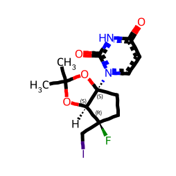 CC1(C)O[C@@H]2[C@@](F)(CI)CC[C@]2(n2ccc(=O)[nH]c2=O)O1